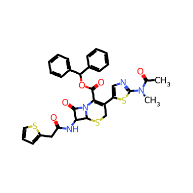 CC(=O)N(C)c1ncc(C2=C(C(=O)OC(c3ccccc3)c3ccccc3)N3C(=O)C(NC(=O)Cc4cccs4)C3SC2)s1